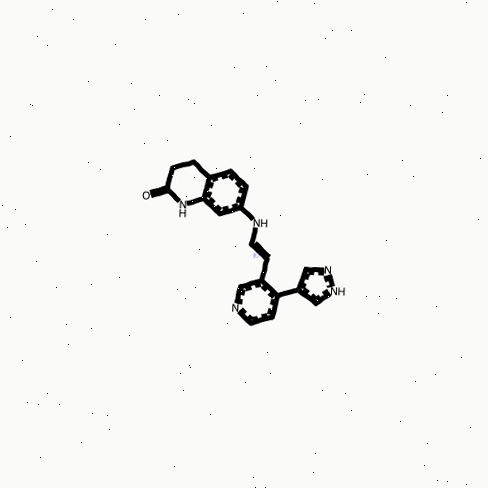 O=C1CCc2ccc(N/C=C/c3cnccc3-c3cn[nH]c3)cc2N1